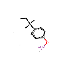 CCC(C)(C)c1ccc(OP)cc1